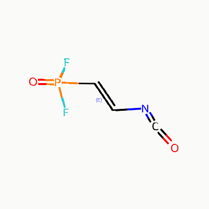 O=C=N/C=C/P(=O)(F)F